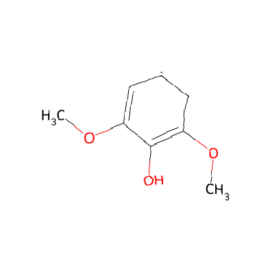 COC1=C[CH]CC(OC)=C1O